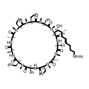 CC[C@@H]1NC(=O)[C@H]([C@H](O)[C@H](C)CC=CCCCNC(C)=O)N(C)C(=O)[C@H](C(C)C)N(C)C(=O)[C@H](CC(C)C)N(C)C(=O)[C@H](CC(C)C)N(C)C(=O)[C@@H](C)NC(=O)[C@H](C)NC(=O)[C@H](CC(C)C)N(C)C(=O)[C@H](C(C)C)NC(=O)[C@H](CC(C)C)N(C)C(=O)[C@@H](C)N(C)C1=O